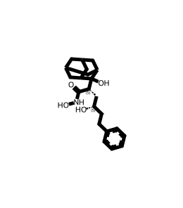 O=C(NO)[C@@H](C[C@@H](O)[CH]Cc1ccccc1)C1(O)C2CC3CC(C2)CC1C3